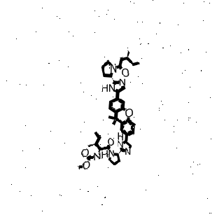 CC[C@H](C)CC(=O)N1CCC[C@H]1c1ncc(-c2ccc3c(c2)Oc2ccc(C4CN=C([C@@H]5CCCN5C(=O)[C@@H](NC(=O)OC)[C@@H](C)CC)N4)cc2C3(C)C)[nH]1